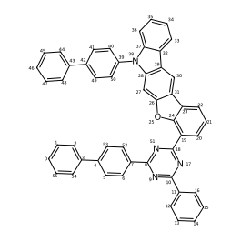 c1ccc(-c2ccc(-c3nc(-c4ccccc4)nc(-c4cccc5c4oc4cc6c(cc45)c4ccccc4n6-c4ccc(-c5ccccc5)cc4)n3)cc2)cc1